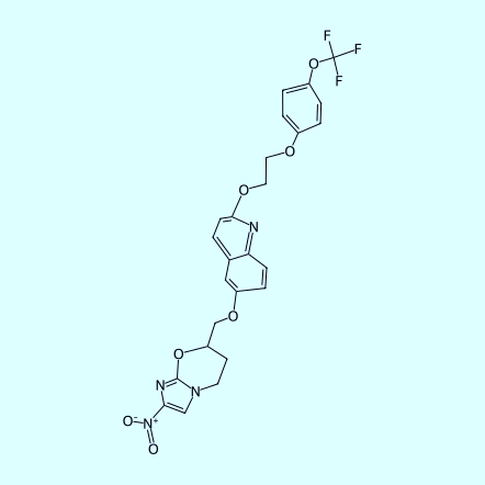 O=[N+]([O-])c1cn2c(n1)OC(COc1ccc3nc(OCCOc4ccc(OC(F)(F)F)cc4)ccc3c1)CC2